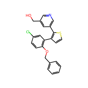 OCc1cncc(-c2sccc2-c2cc(Cl)ccc2OCc2ccccc2)c1